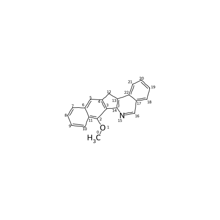 COc1c2c(cc3ccccc13)Cc1c-2ncc2ccccc12